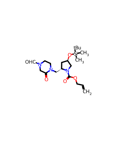 C=CCOC(=O)N1C[C@H](O[Si](C)(C)C(C)(C)C)C[C@H]1CN1CCN(C=O)CC1=O